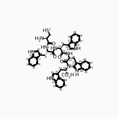 N[C@@H](CS)C(=O)N[C@@H](Cc1c[nH]c2ccccc12)C(=O)N[C@@H](Cc1c[nH]c2ccccc12)C(=O)N[C@@H](Cc1c[nH]c2ccccc12)C(=O)N[C@@H](Cc1c[nH]c2ccccc12)C(=O)O